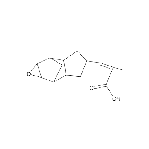 CC(=CC1CC2C(C1)C1CC2C2OC12)C(=O)O